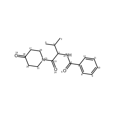 CC(C)C(NC(=O)c1ccccc1)C(=O)N1CCC(=O)CC1